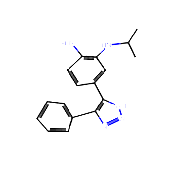 CC(C)Nc1cc(-c2[nH]nnc2-c2ccccc2)ccc1N